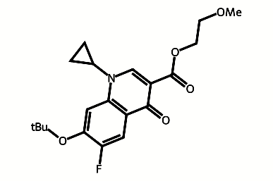 COCCOC(=O)c1cn(C2CC2)c2cc(OC(C)(C)C)c(F)cc2c1=O